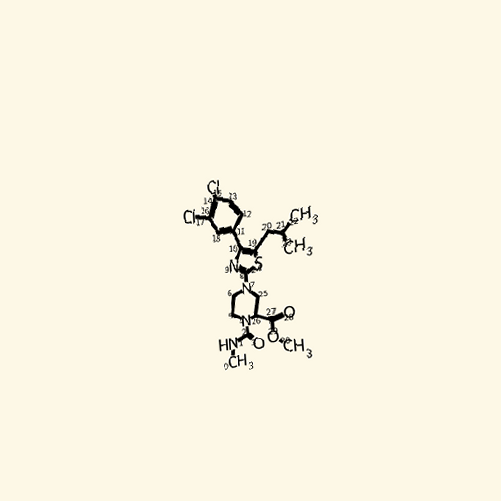 CNC(=O)N1CCN(c2nc(-c3ccc(Cl)c(Cl)c3)c(CC(C)C)s2)CC1C(=O)OC